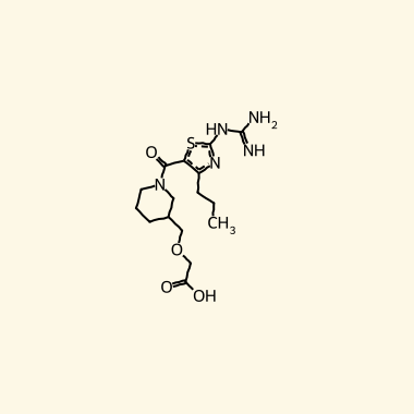 CCCc1nc(NC(=N)N)sc1C(=O)N1CCCC(COCC(=O)O)C1